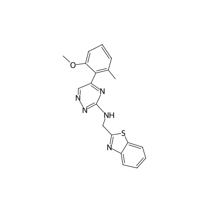 COc1cccc(C)c1-c1cnnc(NCc2nc3ccccc3s2)n1